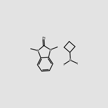 Cn1[c](=[Pt])n(C)c2ccccc21.IN(I)C1CCC1